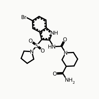 NC(=O)C1CCCN(C(=O)Nc2[nH]c3ccc(Br)cc3c2S(=O)(=O)N2CCCC2)C1